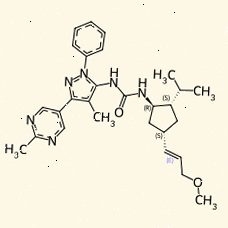 COC/C=C/[C@@H]1C[C@@H](NC(=O)Nc2c(C)c(-c3cnc(C)nc3)nn2-c2ccccc2)[C@H](C(C)C)C1